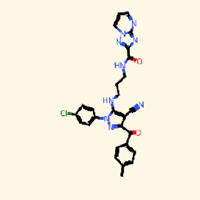 Cc1ccc(C(=O)c2nn(-c3ccc(Cl)cc3)c(NCCCNC(=O)c3nc4ncccn4n3)c2C#N)cc1